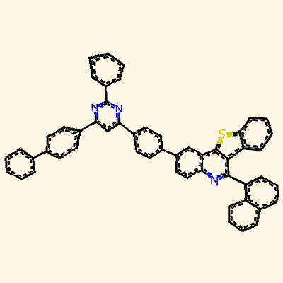 c1ccc(-c2ccc(-c3cc(-c4ccc(-c5ccc6nc(-c7cccc8ccccc78)c7c8ccccc8sc7c6c5)cc4)nc(-c4ccccc4)n3)cc2)cc1